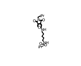 CC(C)CN1C(=O)c2ccc(NCCCCCNS(=O)(=O)C(C)C)cc2C1=O